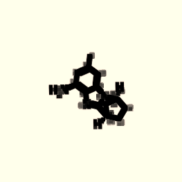 Cc1cc(N)c2nc3n(c2c1)[C@H]1CC[C@@H]3C1